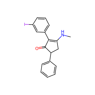 CNC1=C(c2cccc(I)c2)C(=O)C(c2ccccc2)C1